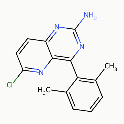 Cc1cccc(C)c1-c1nc(N)nc2ccc(Cl)nc12